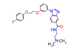 CN(C)CCNC(=O)c1ccc2c(c1)ncn2-c1cccc(OCCOc2ccc(F)cc2)c1